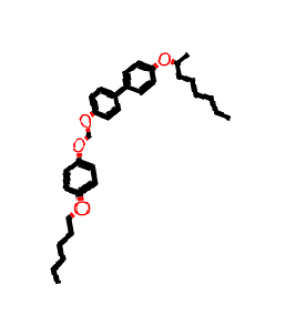 CCCCCCOc1ccc(OCOc2ccc(-c3ccc(OC(C)CCCCCC)cc3)cc2)cc1